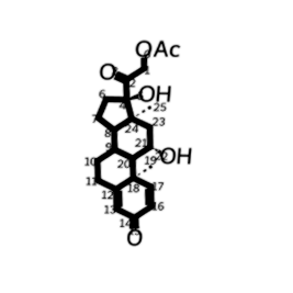 CC(=O)OCC(=O)[C@@]1(O)CCC2C3CCC4=CC(=O)C=C[C@]4(C)C3[C@@H](O)C[C@@]21C